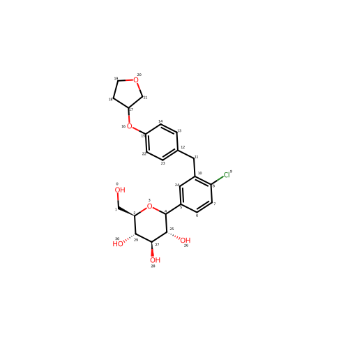 OC[C@H]1OC(c2ccc(Cl)c(Cc3ccc(OC4CCOC4)cc3)c2)[C@H](O)[C@@H](O)[C@@H]1O